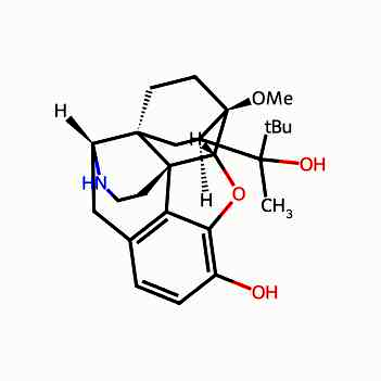 CO[C@]12CC[C@@]3(C[C@@H]1C(C)(O)C(C)(C)C)[C@H]1Cc4ccc(O)c5c4[C@@]3(CCN1)[C@H]2O5